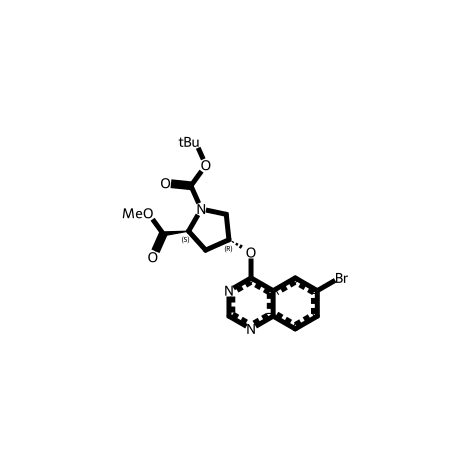 COC(=O)[C@@H]1C[C@@H](Oc2ncnc3ccc(Br)cc23)CN1C(=O)OC(C)(C)C